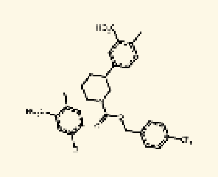 Cc1ccc(C2CCCN(C(=O)OCc3ccc(C(F)(F)F)cc3)C2)cc1C(=O)O.Cc1ccc(Cl)cc1C(=O)O